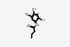 CCCC(=O)Oc1cc(F)c(F)cc1F